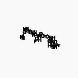 CC(C)C(NS)C(=O)NCC(=O)Nc1ccc(COC(=O)N[C@@](C)(c2ccc(F)cc2)c2cnc(N3CCN(c4ncnn5cc(-c6cnn(C)c6)cc45)CC3)nc2)cc1